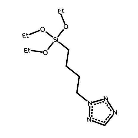 CCO[Si](CCCCn1ncnn1)(OCC)OCC